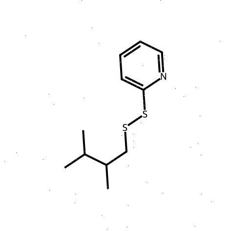 CC(C)C(C)CSSc1ccccn1